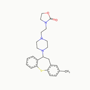 Cc1ccc2c(c1)CC(N1CCN(CCN3CCOC3=O)CC1)c1ccccc1S2